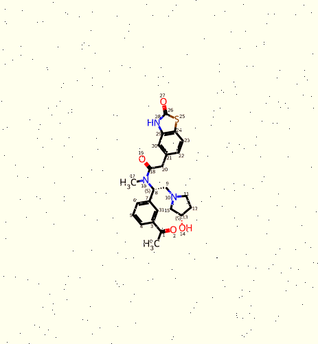 CC(=O)c1cccc([C@@H](CN2CC[C@H](O)C2)N(C)C(=O)Cc2ccc3sc(=O)[nH]c3c2)c1